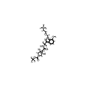 CSc1cccc2c(C(C)(C)NC(=O)C3[C@H]4CN(C(=O)OC(C)(C)C)C[C@@H]34)nn(COCC[Si](C)(C)C)c12